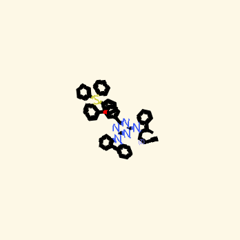 C#C/C=C\c1c(C)c2ccccc2n1-c1nc(-c2cccc(-c3ccccc3S(c3ccccc3)(c3ccccc3)c3ccccc3)c2)nc(-n2c3ccccc3c3ccccc32)n1